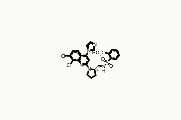 O=C(O)c1ccccc1S(=O)(=O)NC[C@@H]1CCCN1c1cc(-n2ccnc2)c2ccc(Cl)c(Cl)c2n1